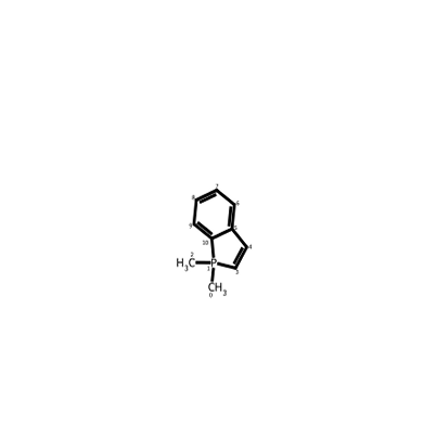 C[P]1(C)C=Cc2ccccc21